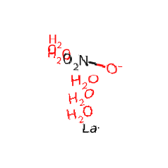 O.O.O.O.O.O=[N+]([O-])[O-].[La]